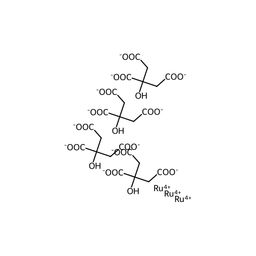 O=C([O-])CC(O)(CC(=O)[O-])C(=O)[O-].O=C([O-])CC(O)(CC(=O)[O-])C(=O)[O-].O=C([O-])CC(O)(CC(=O)[O-])C(=O)[O-].O=C([O-])CC(O)(CC(=O)[O-])C(=O)[O-].[Ru+4].[Ru+4].[Ru+4]